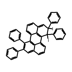 IC1(c2ccccc2)C=c2cccc3c2c(c2cccc4cc(-c5ccccc5)c(-c5ccccc5)c3c42)C1(I)c1ccccc1